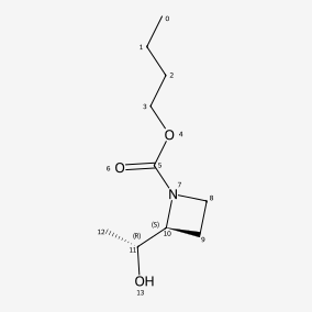 CCCCOC(=O)N1CC[C@H]1[C@@H](C)O